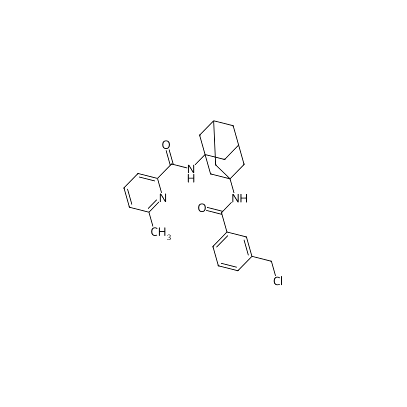 Cc1cccc(C(=O)NC23CC4CC(CC(NC(=O)c5cccc(CCl)c5)(C4)C2)C3)n1